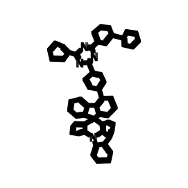 c1ccc(-c2cccc(-c3nc(-c4ccccc4)nc(-c4ccc(-c5cccc6c5-c5ccccc5C65c6ccccc6-n6c7ccccc7c7cccc5c76)cc4)n3)c2)cc1